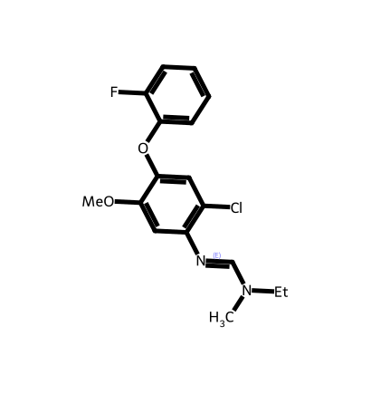 CCN(C)/C=N/c1cc(OC)c(Oc2ccccc2F)cc1Cl